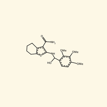 COc1ccc(C(O)Nc2sc3c(c2C(N)=O)CCCC3)c(OC)c1OC